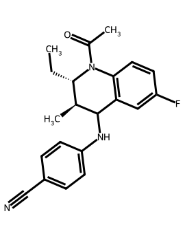 CC[C@H]1[C@H](C)C(Nc2ccc(C#N)cc2)c2cc(F)ccc2N1C(C)=O